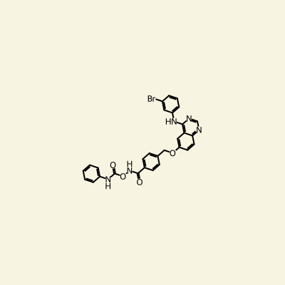 O=C(Nc1ccccc1)ONC(=O)c1ccc(COc2ccc3ncnc(Nc4cccc(Br)c4)c3c2)cc1